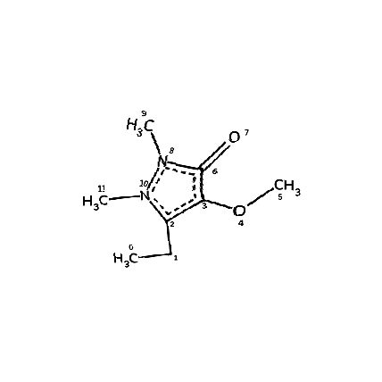 CCc1c(OC)c(=O)n(C)n1C